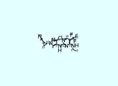 CCNc1nc(Nc2cn([C@@H]3CC3C#N)nc2Cl)ncc1C(F)(F)F